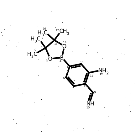 CC1(C)OB(c2ccc(C=N)c(N)c2)OC1(C)C